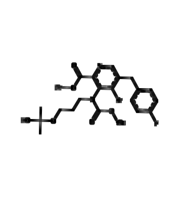 CC(C)OC(=O)c1ncc(Cc2ccc(F)cc2)c(Br)c1N(CCCOC(C)(C)O)C(=O)OC(C)(C)C